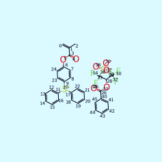 C=C(C)C(=O)Oc1ccc([S+](c2ccccc2)c2ccccc2)cc1.O=C(OC(C(F)(F)F)C(F)(F)S(=O)(=O)[O-])c1ccccc1